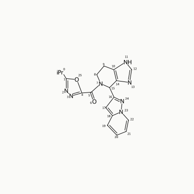 CC(C)c1nnc(C(=O)N2CCc3[nH]cnc3C2c2cc3ccccn3n2)o1